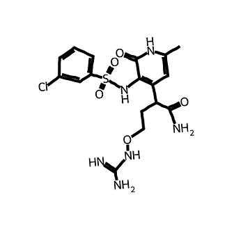 Cc1cc(C(CCONC(=N)N)C(N)=O)c(NS(=O)(=O)c2cccc(Cl)c2)c(=O)[nH]1